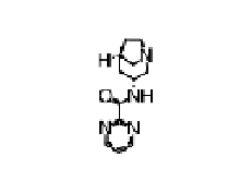 O=C(N[C@@H]1C[C@H]2CCN(C2)C1)c1ncccn1